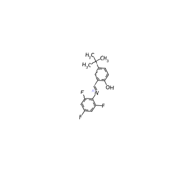 CC(C)(C)c1ccc(O)c(/C=N/c2c(F)cc(F)cc2F)c1